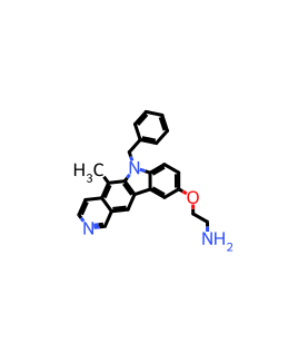 Cc1c2ccncc2cc2c3cc(OCCN)ccc3n(Cc3ccccc3)c12